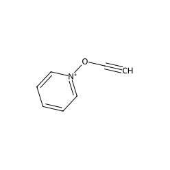 C#CO[n+]1ccccc1